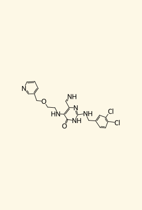 N=Cc1nc(NCc2ccc(Cl)c(Cl)c2)[nH]c(=O)c1NCCOCc1cccnc1